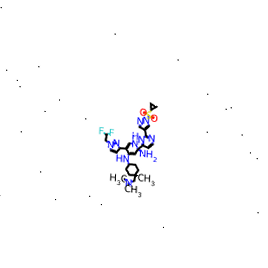 CN(C)CC1(C)CCC(NC2=CC(N)(c3ccnc(-c4cnn(S(=O)(=O)C5CC5)c4)n3)NC=C2c2ccn(CC(F)F)n2)CC1